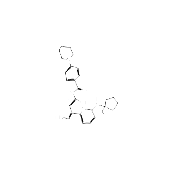 N/C=C(\C=C(/C=O)NC(=O)c1ccc(N2CCCCC2)cc1)C1=CC=CC(NC2(CO)CCCC2)N1